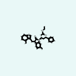 CCOC(=O)C[C@H](CCc1ccccc1)N1C(=O)C(Cc2csc3cccc(C)c23)c2ccc(C)cc21